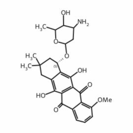 COc1cccc2c1C(=O)c1c(O)c3c(c(O)c1C2=O)CC(C)(C)C[C@@H]3OC1CC(N)C(O)C(C)O1